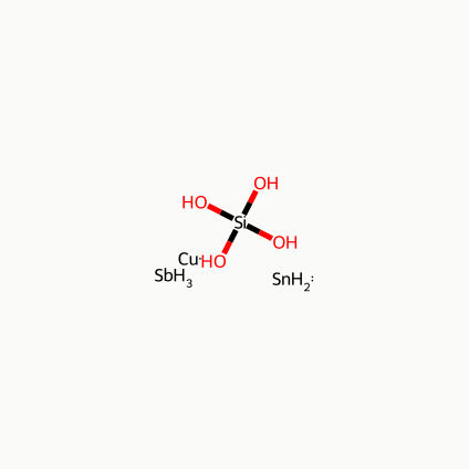 O[Si](O)(O)O.[Cu].[SbH3].[SnH2]